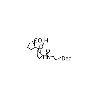 CCCCCCCCCCCCNC(=O)C1CCN1C(=O)C1CCCN1C(=O)O